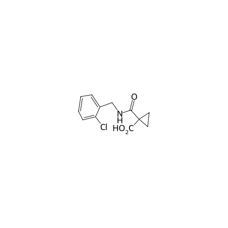 O=C(O)C1(C(=O)NCc2ccccc2Cl)CC1